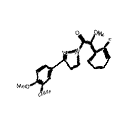 COc1ccc(C2=NN(C(=O)C(OC)c3ccccc3F)CC2)cc1OC